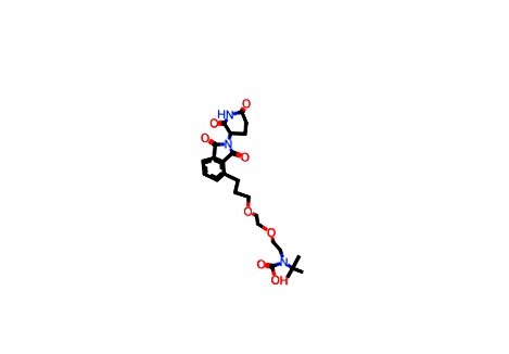 CC(C)(C)N(CCOCCOCCCc1cccc2c1C(=O)N(C1CCC(=O)NC1=O)C2=O)C(=O)O